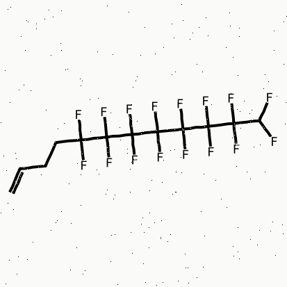 C=CCCC(F)(F)C(F)(F)C(F)(F)C(F)(F)C(F)(F)C(F)(F)C(F)(F)[C](F)F